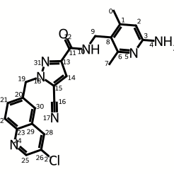 Cc1cc(N)nc(C)c1CNC(=O)c1cc(C#N)n(Cc2ccc3ncc(Cl)cc3c2)n1